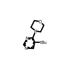 CC(C)(C)c1cncnc1N1CCOCC1